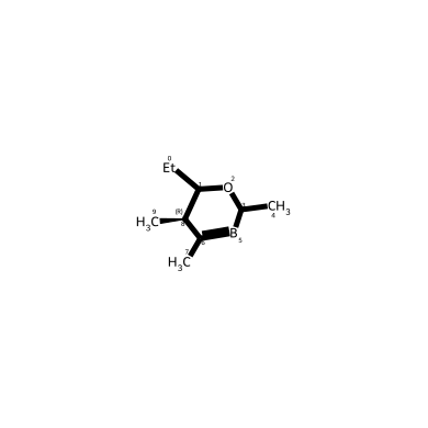 CCC1OC(C)B=C(C)[C@H]1C